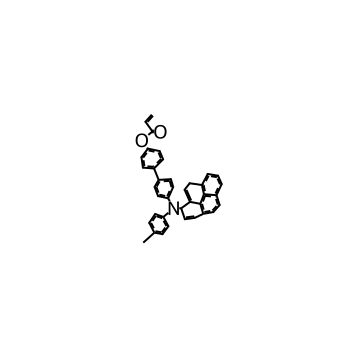 C=CC(=O)Oc1ccc(-c2ccc(N(c3ccc(C)cc3)C3C=Cc4ccc5cccc6c5c4C3=CC6)cc2)cc1